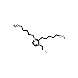 CCCCCCc1n(CCCCCC)cc[n+]1CC